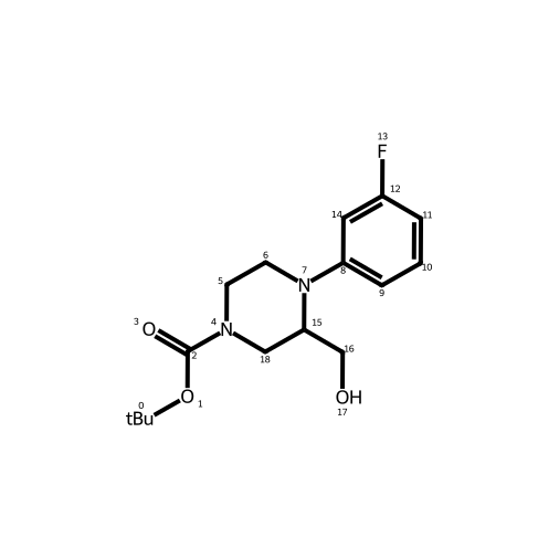 CC(C)(C)OC(=O)N1CCN(c2cccc(F)c2)C(CO)C1